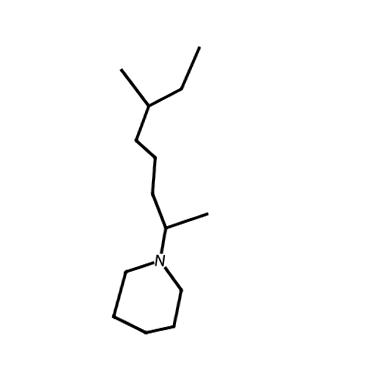 CCC(C)CCCC(C)N1CCCCC1